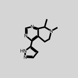 CC1c2ncnc(-c3ccn[nH]3)c2CCN1C